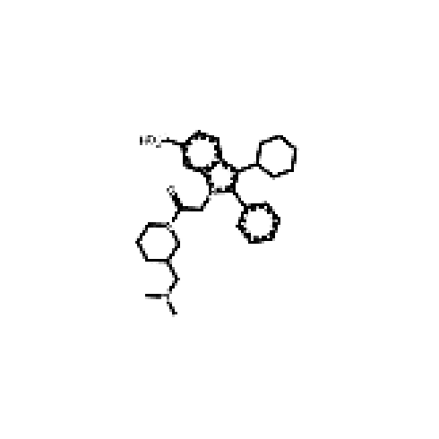 CN(C)CC1CCCN(C(=O)Cn2c(-c3ccccc3)c(C3CCCCC3)c3ccc(C(=O)O)cc32)C1